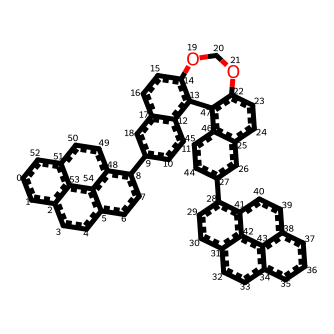 c1cc2ccc3ccc(-c4ccc5c6c(ccc5c4)OCOc4ccc5cc(-c7ccc8ccc9cccc%10ccc7c8c9%10)ccc5c4-6)c4ccc(c1)c2c34